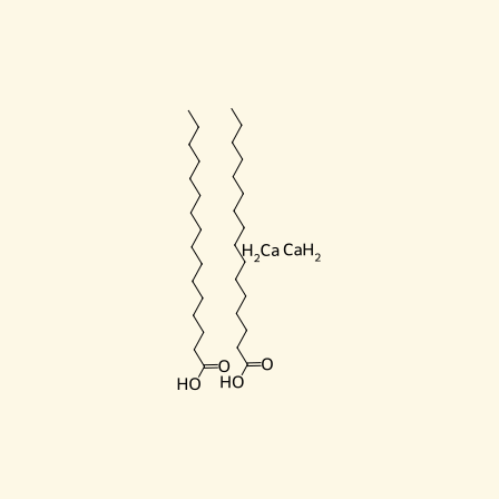 CCCCCCCCCCCCCCCC(=O)O.CCCCCCCCCCCCCCCC(=O)O.[CaH2].[CaH2]